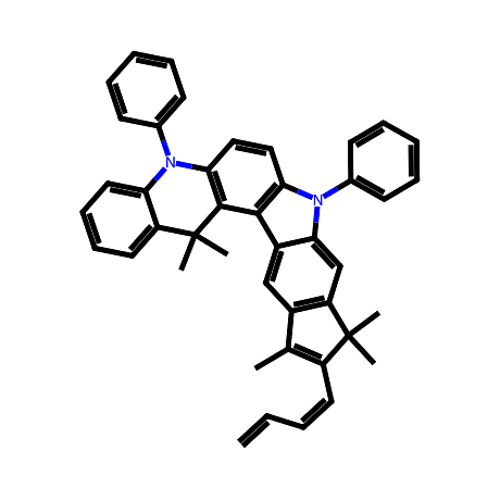 C=C/C=C\C1=C(C)c2cc3c4c5c(ccc4n(-c4ccccc4)c3cc2C1(C)C)N(c1ccccc1)c1ccccc1C5(C)C